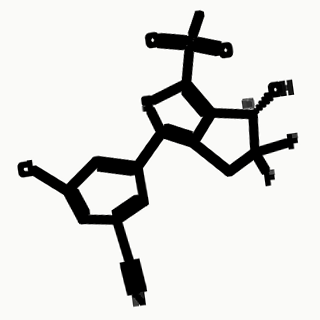 CS(=O)(=O)c1sc(-c2cc(Cl)cc(C#N)c2)c2c1[C@H](O)C(F)(F)C2